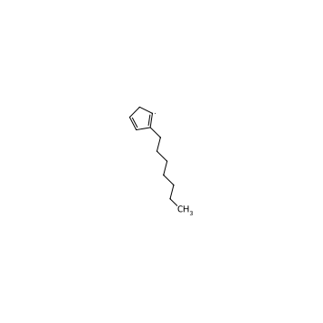 CCCCCCCC1=[C]CC=C1